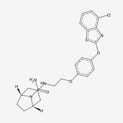 NC(=O)N1[C@@H]2CC[C@H]1CC(NCCOc1ccc(Oc3nc4c(Cl)cccc4s3)cc1)C2